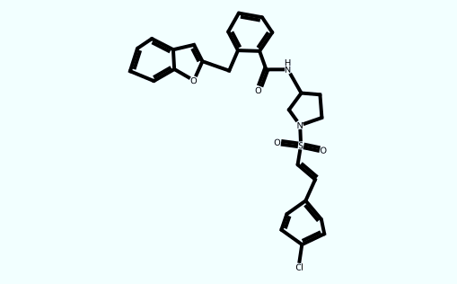 O=C(NC1CCN(S(=O)(=O)C=Cc2ccc(Cl)cc2)C1)c1ccccc1Cc1cc2ccccc2o1